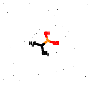 CC(C)P(O)O